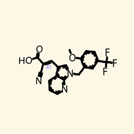 COc1ccc(C(F)(F)F)cc1Cn1cc(/C=C(\C#N)C(=O)O)c2cccnc21